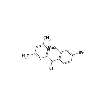 CCN(c1nc(C)cc(C)n1)c1ccc(C(C)C)cc1SC